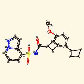 COc1ccc(C2CCC2)c2c1C(C(=O)NS(=O)(=O)c1cccn3nccc13)C2